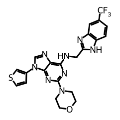 FC(F)(F)c1ccc2[nH]c(CNc3nc(N4CCOCC4)nc4c3ncn4-c3ccsc3)nc2c1